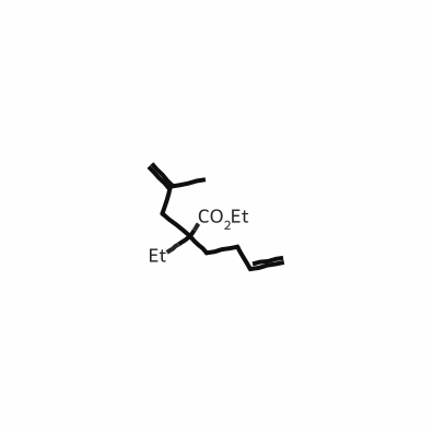 C=CCCC(CC)(CC(=C)C)C(=O)OCC